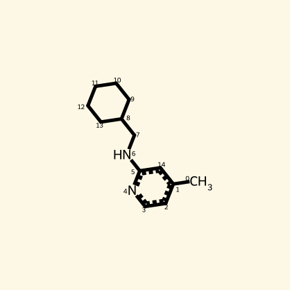 Cc1ccnc(NCC2CCCCC2)c1